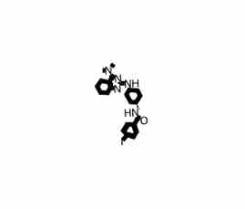 CN(C)c1nc(N[C@H]2CC[C@@H](CNC(=O)c3ccc(I)cc3)CC2)nc2c1CCCC2